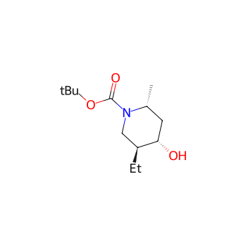 CC[C@H]1CN(C(=O)OC(C)(C)C)[C@H](C)C[C@@H]1O